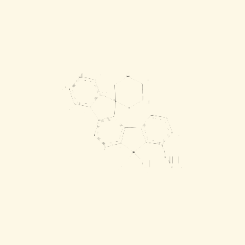 CC1(C)c2ccc3c(c2-c2cccc(N)c21)C1(CCCCC1)c1ccccc1-3